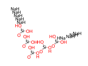 O=[Si](O)O.O=[Si](O)O.O=[Si](O)O.O=[Si](O)O.O=[Si](O)O.[NaH].[NaH].[NaH].[NaH].[NaH].[NaH].[NaH].[NaH].[NaH]